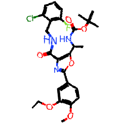 CCOc1cc(-c2nc(C(=O)NCc3c(F)cccc3Cl)c(C(C)NC(=O)OC(C)(C)C)o2)ccc1OC